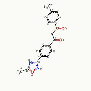 O=C(C[S+]([O-])c1ccc(C(F)(F)F)cc1)c1ccc(-c2noc(C(F)(F)F)n2)cc1